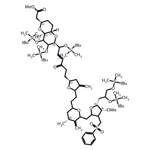 C=C1C[C@H](CCC(=O)/C=C/C(O[Si](C)(C)C(C)(C)C)[C@@H]2O[C@H]3CC[C@H](CC(=O)OC)O[C@@H]3C(O[Si](C)(C)C(C)(C)C)C2O[Si](C)(C)C(C)(C)C)OC1CCC1C[C@@H](C)C(=C)C(CC2O[C@H](CC(CO[Si](C)(C)C(C)(C)C)O[Si](C)(C)C(C)(C)C)[C@H](OC)C2CS(=O)(=O)c2ccccc2)O1